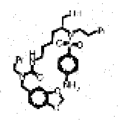 CC(C)CCN([C@H](CO)CCCCNC(=O)N(Cc1ccc2c(c1)OCO2)CC(C)C)S(=O)(=O)c1ccc(N)cc1